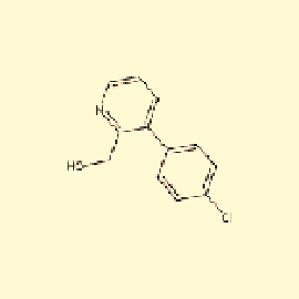 OCc1ncccc1-c1ccc(Cl)cc1